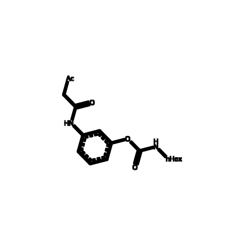 CCCCCCNC(=O)Oc1cccc(NC(=O)CC(C)=O)c1